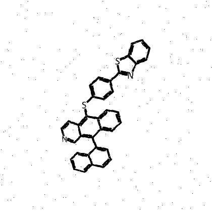 c1ccc2c(-c3c4ccccc4c(Sc4ccc(-c5nc6ccccc6s5)cc4)c4ccncc34)cccc2c1